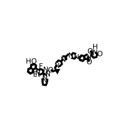 CCc1cccc2cc(O)cc(-c3ncc4c(N5CC6CCC(C5)N6)nc(OCC5(CN6CCC(N7CC(CN8CCN(c9ccc%10c(c9)CN([C@H]9CCC(=O)NC9=O)C%10=O)CC8)C7)CC6)CC5)nc4c3F)c12